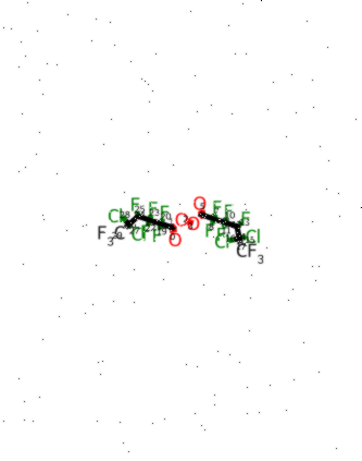 O=C(OOC(=O)C(F)(F)C(F)(F)C(F)C(Cl)(Cl)C(F)(F)F)C(F)(F)C(F)(F)C(F)C(Cl)(Cl)C(F)(F)F